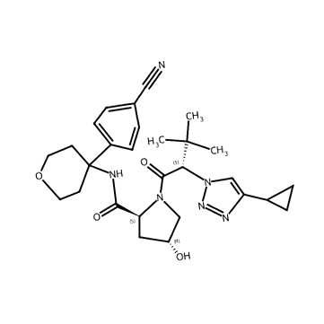 CC(C)(C)[C@@H](C(=O)N1C[C@H](O)C[C@H]1C(=O)NC1(c2ccc(C#N)cc2)CCOCC1)n1cc(C2CC2)nn1